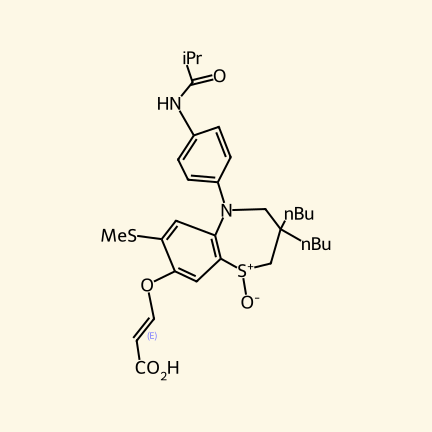 CCCCC1(CCCC)CN(c2ccc(NC(=O)C(C)C)cc2)c2cc(SC)c(O/C=C/C(=O)O)cc2[S+]([O-])C1